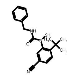 CC(C)(C)c1ccc(C#N)cc1N(S)C(=O)NCc1ccccc1